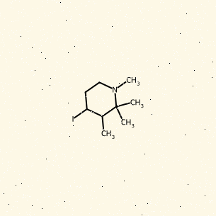 CC1C(I)CCN(C)C1(C)C